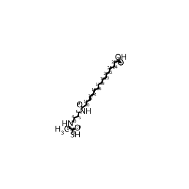 C[C@H](NCCCCNC(=O)CCCCCCCCCCCCCCCCC(=O)O)C(=O)S